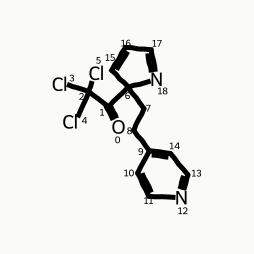 O=C(C(Cl)(Cl)Cl)C1(CCc2ccncc2)C=CC=N1